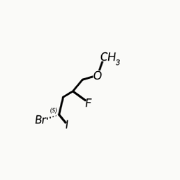 COCC(F)C[C@@H](Br)I